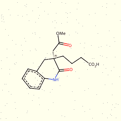 COC(=O)C[C@@]1(CCCC(=O)O)Cc2ccccc2NC1=O